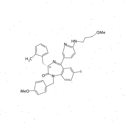 COCCCNc1ccc(C2=N[C@@H](Cc3ccccc3C)C(=O)N(Cc3ccc(OC)cc3)c3ccc(I)cc32)cn1